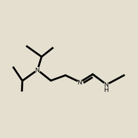 CNC=NCCN(C(C)C)C(C)C